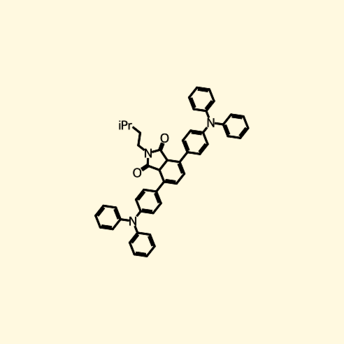 CC(C)CCN1C(=O)C2C(c3ccc(N(c4ccccc4)c4ccccc4)cc3)=CC=C(c3ccc(N(c4ccccc4)c4ccccc4)cc3)C2C1=O